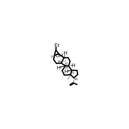 C=C(C)[C@H]1CC[C@H]2[C@@H]3CC[C@@H]4C5C(CC)[C@@]5(O)CC[C@]4(C)[C@H]3CC[C@]12C